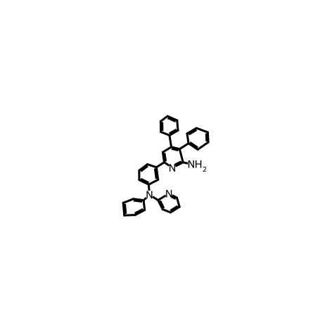 Nc1nc(-c2cccc(N(c3ccccc3)c3ccccn3)c2)cc(-c2ccccc2)c1-c1ccccc1